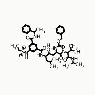 CCS(=O)(=O)Nc1cc(C(=O)NC(C)c2ccccc2)cc(C(=O)NC(CC(C)C)C(O)CC(NC(=O)OCc2ccccc2)C(=O)NC(C(=O)NC(C)C)C(C)C)c1